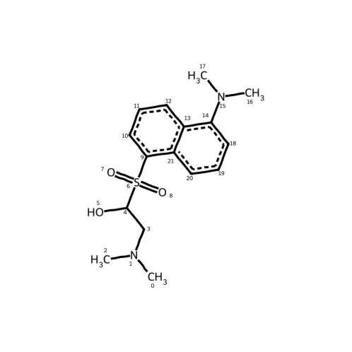 CN(C)CC(O)S(=O)(=O)c1cccc2c(N(C)C)cccc12